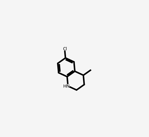 CC1CCNc2ccc(Cl)cc21